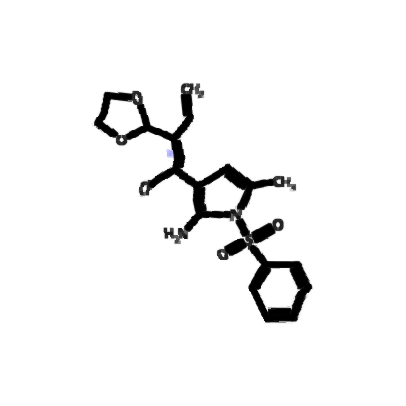 C=C/C(=C(/Cl)c1cc(C)n(S(=O)(=O)c2ccccc2)c1N)C1OCCO1